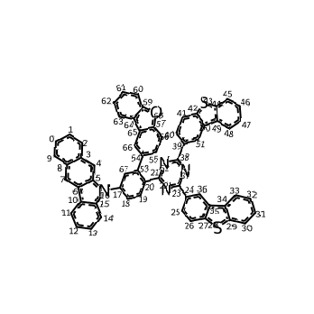 c1ccc2cc3c(cc2c1)c1ccccc1n3-c1ccc(-c2nc(-c3ccc4sc5ccccc5c4c3)nc(-c3ccc4sc5ccccc5c4c3)n2)c(-c2ccc3oc4ccccc4c3c2)c1